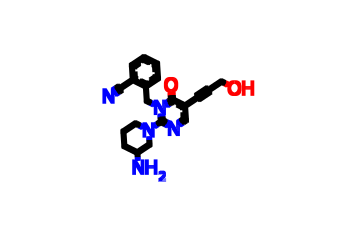 N#Cc1ccccc1Cn1c(N2CCCC(N)C2)ncc(C#CCO)c1=O